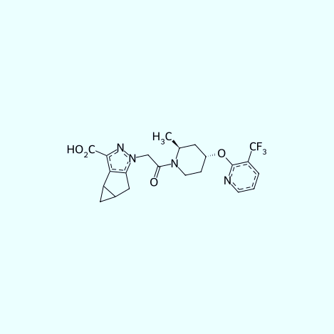 C[C@H]1C[C@H](Oc2ncccc2C(F)(F)F)CCN1C(=O)Cn1nc(C(=O)O)c2c1CC1CC21